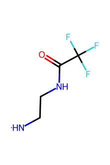 [NH]CCNC(=O)C(F)(F)F